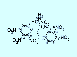 N.O=[N+]([O-])O.O=[N+]([O-])c1ccc(/C=C/c2ccc([N+](=O)[O-])c([N+](=O)[O-])c2[N+](=O)[O-])c([N+](=O)[O-])c1[N+](=O)[O-]